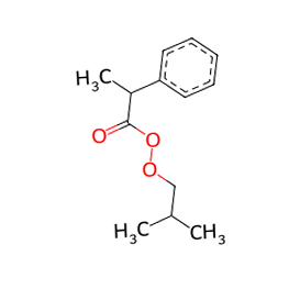 CC(C)COOC(=O)C(C)c1ccccc1